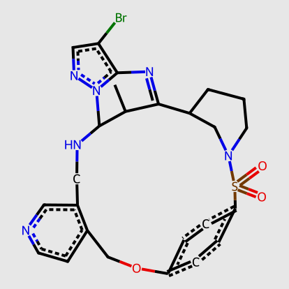 CC1C2=Nc3c(Br)cnn3C1NCc1cnccc1COc1ccc(cc1)S(=O)(=O)N1CCCC2C1